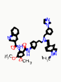 COc1cc(NC(=O)c2cnc3ccccc3c2)c(C(=O)Nc2ccc(CCN(Cc3cccc(-n4ccnc4)c3)Cc3ccc4c(cnn4C)c3)cc2)cc1OC